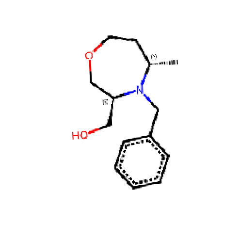 C[C@H]1CCOC[C@H](CO)N1Cc1ccccc1